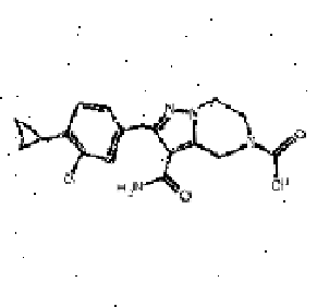 NC(=O)c1c(-c2ccc(C3CC3)c(Cl)c2)nn2c1CN(C(=O)O)CC2